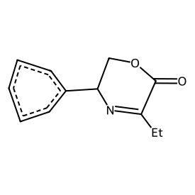 CCC1=NC(c2ccccc2)COC1=O